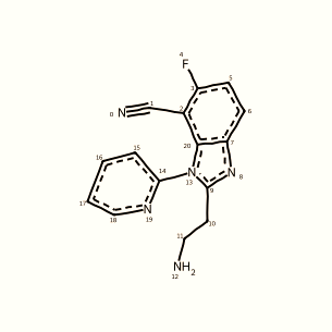 N#Cc1c(F)ccc2nc(CCN)n(-c3ccccn3)c12